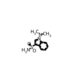 CN(C)n1cc(S(N)(=O)=O)c2ccccc21